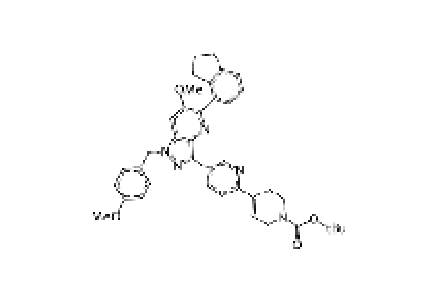 COc1ccc(Cn2nc(-c3ccc(C4=CCN(C(=O)OC(C)(C)C)CC4)nc3)c3nc(-c4cccc5c4CCC5)c(OC)cc32)cc1